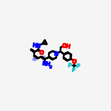 C=C(/C=C\C=C(/N)C1=CCN(C(CO)c2ccc(OC(F)(F)F)cc2)CC1)C(=O)NC1CC1